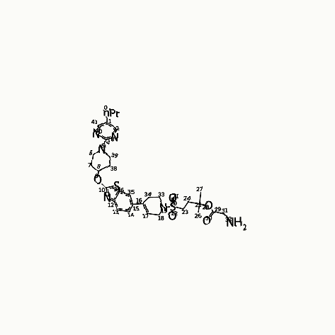 CCCc1cnc(N2CCC(Oc3nc4ccc(C5=CCN(S(=O)(=O)CCC(C)(C)OC(=O)CN)CC5)cc4s3)CC2)nc1